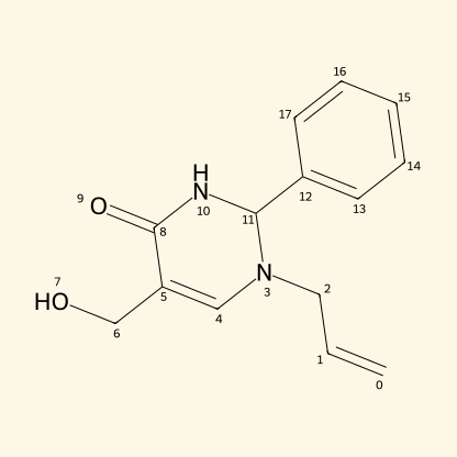 C=CCN1C=C(CO)C(=O)NC1c1ccccc1